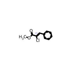 COC(=O)/C(Cl)=C/c1ccccc1